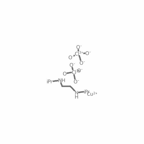 CC(C)NCCNC(C)C.[Cu+2].[O-][Cl+3]([O-])([O-])[O-].[O-][Cl+3]([O-])([O-])[O-]